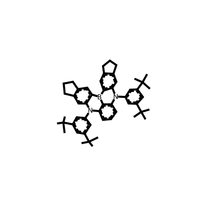 CC(C)(C)c1cc(N2c3cc4c(cc3B3c5cc6c(cc5N(c5cc(C(C)(C)C)cc(C(C)(C)C)c5)c5cccc2c53)CCC6)CCC4)cc(C(C)(C)C)c1